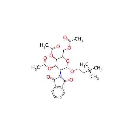 CC(=O)OC[C@H]1O[C@H](OCC[Si](C)(C)C)[C@@H](N2C(=O)c3ccccc3C2=O)[C@@H](OC(C)=O)[C@H]1OC(C)=O